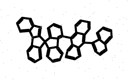 c1ccc2c(c1)-c1c(-c3c4ccccc4c(-c4cccc5ccccc45)c4ccccc34)cccc1C21c2ccccc2-n2c1nc1ccccc12